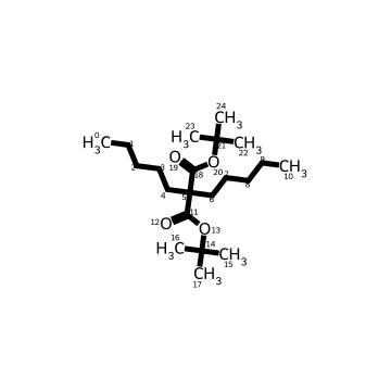 CCCCCC(CCCCC)(C(=O)OC(C)(C)C)C(=O)OC(C)(C)C